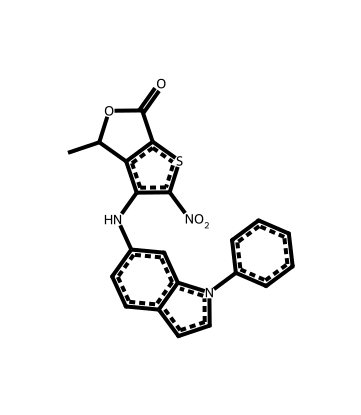 CC1OC(=O)c2sc([N+](=O)[O-])c(Nc3ccc4ccn(-c5ccccc5)c4c3)c21